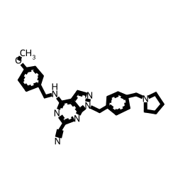 COc1ccc(CNc2nc(C#N)nc3c2cnn3Cc2ccc(CN3CCCC3)cc2)cc1